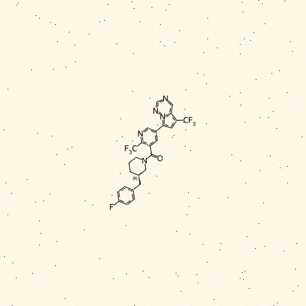 O=C(c1cc(-c2cc(C(F)(F)F)c3cncnn23)cnc1C(F)(F)F)N1CCC[C@H](Cc2ccc(F)cc2)C1